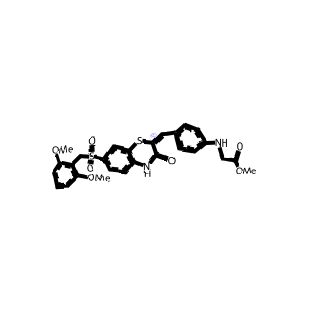 COC(=O)CNc1ccc(/C=C2/Sc3cc(S(=O)(=O)Cc4c(OC)cccc4OC)ccc3NC2=O)cc1